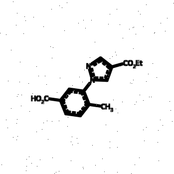 CCOC(=O)c1cnn(-c2cc(C(=O)O)ccc2C)c1